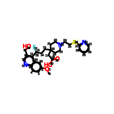 COc1ccc2ncc(CO)c([C@@H](F)CCC3(CC(=O)O)CCN(CCSc4ccccn4)CC3)c2c1